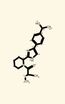 CSC(C)C(=O)N1CCCCC1c1nc(-c2ccc(C(C)O)cc2)c[nH]1